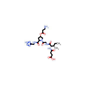 CC[C@H](C)[C@H](NC(=O)CCC(=O)O)C(=O)NCC(=O)N1C[C@H](OC(=O)CCN)CC1C(=O)NCc1nn[nH]n1